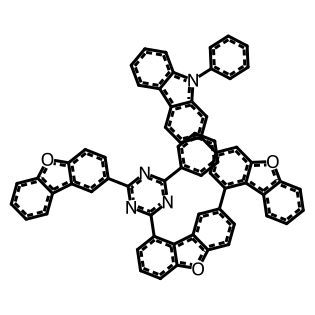 c1ccc(-c2nc(-c3ccc4oc5ccccc5c4c3)nc(-c3cccc4oc5ccc(-c6cc(-c7ccc8c9ccccc9n(-c9ccccc9)c8c7)cc7oc8ccccc8c67)cc5c34)n2)cc1